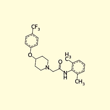 Cc1cccc(C)c1NC(=O)CN1CCC(Oc2ccc(C(F)(F)F)cc2)CC1